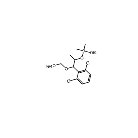 COCOC(c1c(Cl)cccc1Cl)C(C)O[Si](C)(C)C(C)(C)C